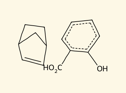 C1=CC2CCC1C2.O=C(O)c1ccccc1O